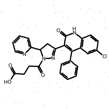 O=C(O)CCC(=O)N1N=C(c2c(-c3ccccc3)c3cc(Cl)ccc3[nH]c2=O)CC1c1ccccn1